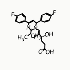 CC(C)C1=NC(c2ccc(F)cc2)=CC(c2ccc(F)cc2)N1/C=C(\F)[C@@H](O)CCC(=O)O